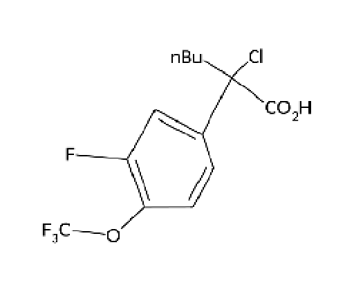 CCCCC(Cl)(C(=O)O)c1ccc(OC(F)(F)F)c(F)c1